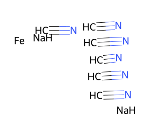 C#N.C#N.C#N.C#N.C#N.C#N.[Fe].[NaH].[NaH]